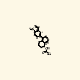 CCC(=O)N[C@@H]1CCCc2c(-c3ccc4c(cnn4C)c3)cncc21